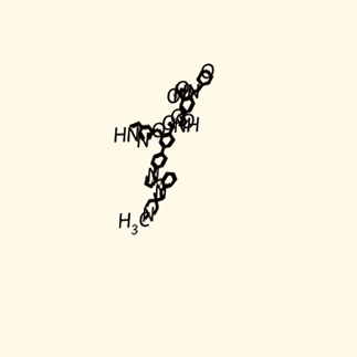 CN1CCC2(CC1)CN(c1ccccc1[C@H]1CCCN1c1ccc(-c3ccc(C(=O)NS(=O)(=O)c4ccc(NCC5CCOCC5)c([N+](=O)[O-])c4)c(Oc4cnc5[nH]ccc5c4)c3)cc1)C2